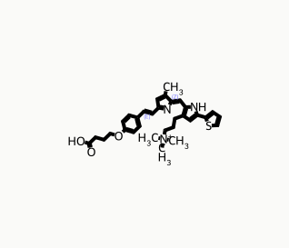 CC1=CC(/C=C/c2ccc(OCCCC(=O)O)cc2)=NC/1=C\c1[nH]c(-c2cccs2)cc1CCC[N+](C)(C)C